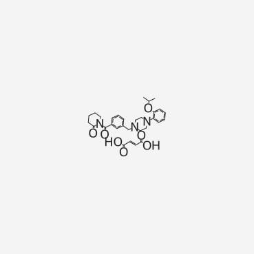 CC(C)Oc1ccccc1N1CCN(Cc2cccc(C(=O)N3CCCCC3=O)c2)CC1.O=C(O)/C=C/C(=O)O